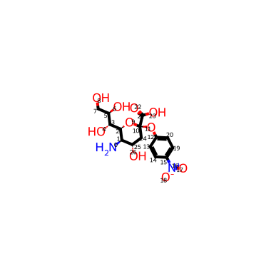 N[C@H]1[C@H]([C@H](O)[C@H](O)CO)O[C@](Oc2ccc([N+](=O)[O-])cc2)(C(=O)O)C[C@@H]1O